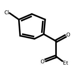 CCC(=O)C(=O)c1ccc(Cl)cc1